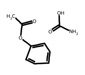 CC(=O)Oc1ccccc1.NC(=O)O